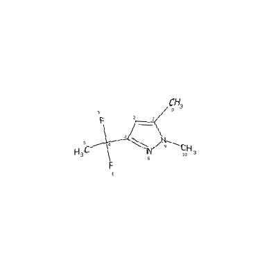 Cc1cc(C(C)(F)F)nn1C